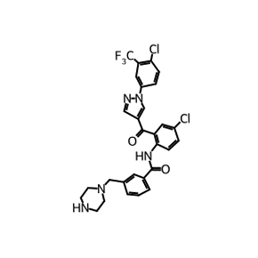 O=C(Nc1ccc(Cl)cc1C(=O)c1cnn(-c2ccc(Cl)c(C(F)(F)F)c2)c1)c1cccc(CN2CCNCC2)c1